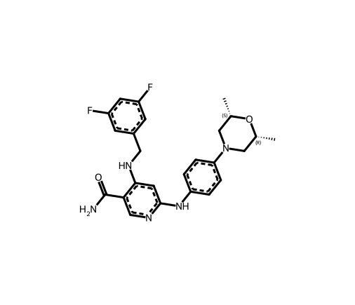 C[C@@H]1CN(c2ccc(Nc3cc(NCc4cc(F)cc(F)c4)c(C(N)=O)cn3)cc2)C[C@H](C)O1